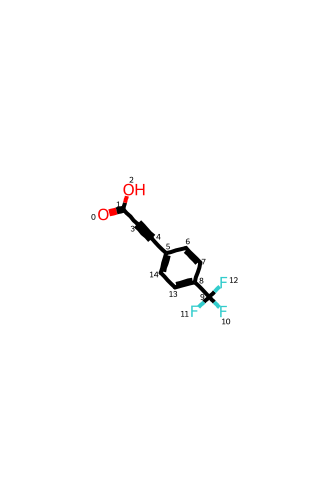 O=C(O)C#Cc1ccc(C(F)(F)F)cc1